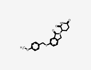 COc1ccc(CSc2ccc3c(c2)C(=O)N(C2CCC(=O)NC2=O)C3)cc1